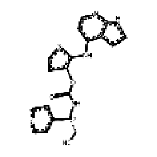 N#CC[C@@H](NC(=O)Oc1ccsc1Nc1ccnc2[nH]ccc12)c1ccccc1